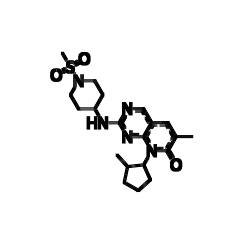 Cc1cc2cnc(NC3CCN(S(C)(=O)=O)CC3)nc2n(C2CCCC2C)c1=O